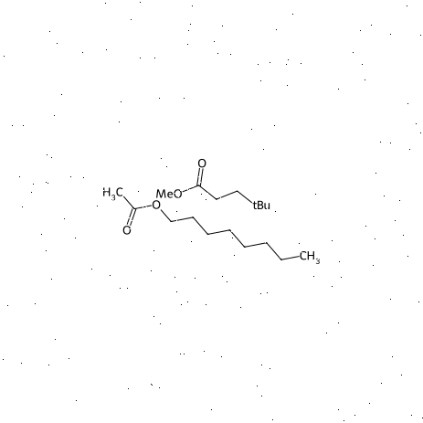 CCCCCCCCOC(C)=O.COC(=O)CCC(C)(C)C